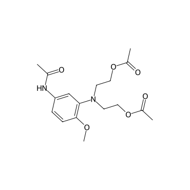 COc1ccc(NC(C)=O)cc1N(CCOC(C)=O)CCOC(C)=O